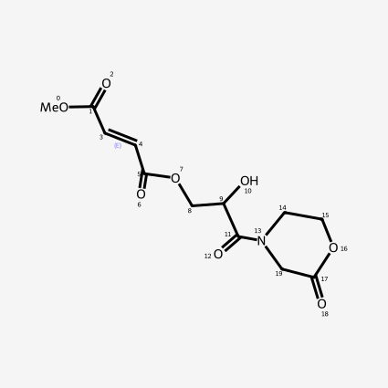 COC(=O)/C=C/C(=O)OCC(O)C(=O)N1CCOC(=O)C1